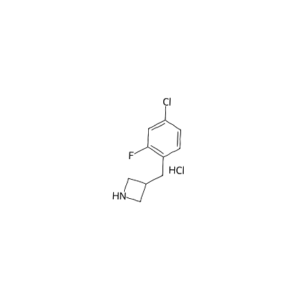 Cl.Fc1cc(Cl)ccc1CC1CNC1